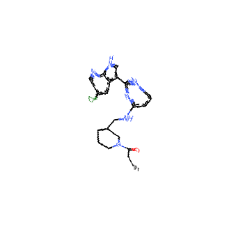 CC(C)CC(=O)N1CCCC(CNc2ccnc(-c3c[nH]c4ncc(Cl)cc34)n2)C1